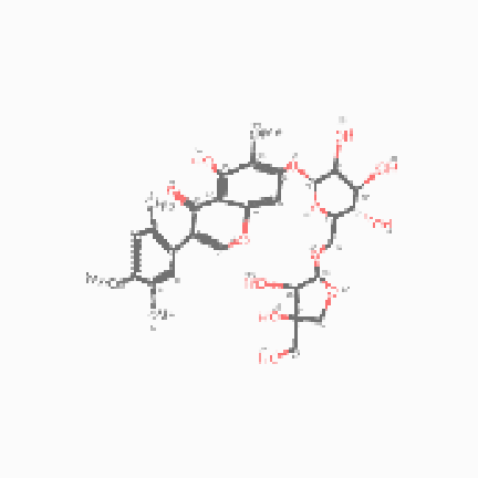 COc1cc(OC)c(-c2coc3cc(O[C@@H]4OC(COC5OCC(O)(CO)C5O)[C@@H](O)[C@H](O)C4O)c(OC)c(O)c3c2=O)cc1OC